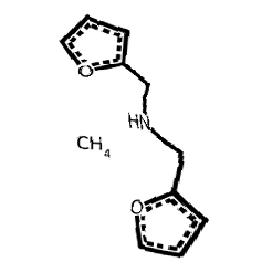 C.c1coc(CNCc2ccco2)c1